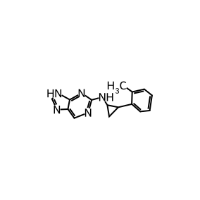 Cc1ccccc1C1CC1Nc1ncc2nc[nH]c2n1